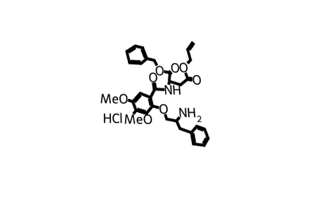 C=CCOC(=O)CC(NC(=O)c1cc(OC)c(OC)cc1OCC(N)Cc1ccccc1)C(=O)OCc1ccccc1.Cl